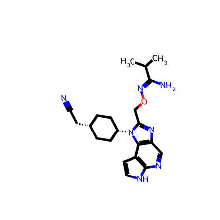 CC(C)/C(N)=N/OCc1nc2cnc3[nH]ccc3c2n1[C@H]1CC[C@@H](CC#N)CC1